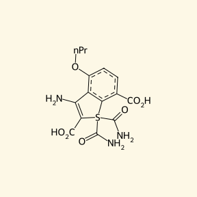 CCCOc1ccc(C(=O)O)c2c1C(N)=C(C(=O)O)S2(C(N)=O)C(N)=O